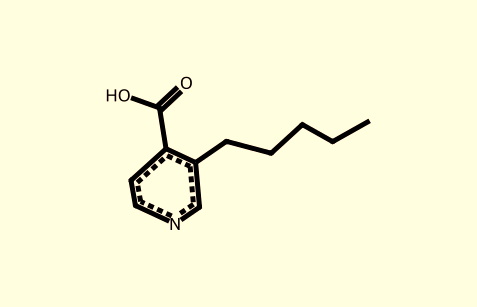 CCCCCc1cnccc1C(=O)O